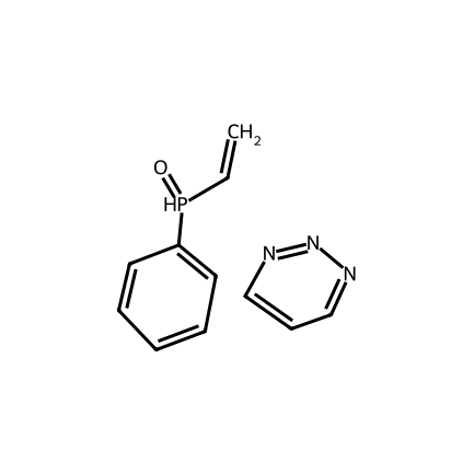 C=C[PH](=O)c1ccccc1.c1cnnnc1